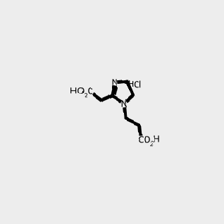 Cl.O=C(O)CCN1CCN=C1CC(=O)O